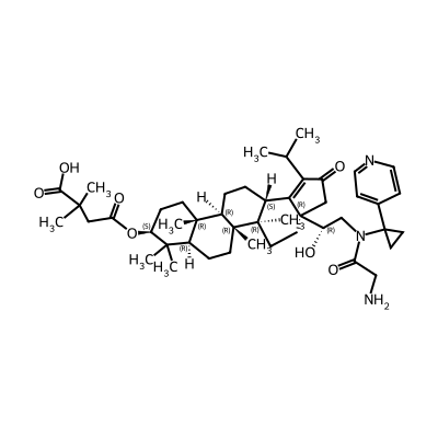 CC(C)C1=C2[C@H]3CC[C@@H]4[C@@]5(C)CC[C@H](OC(=O)CC(C)(C)C(=O)O)C(C)(C)[C@@H]5CC[C@@]4(C)[C@]3(C)CC[C@@]2([C@@H](O)CN(C(=O)CN)C2(c3ccncc3)CC2)CC1=O